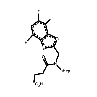 CCCCCCCN(Cc1nc2c(F)c(F)cc(F)c2s1)C(=O)CCC(=O)O